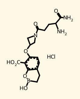 Cl.NC(=O)C(N)CCC(=O)N1CC(Oc2ccc3c(c2C(=O)O)OB(O)CC3)C1